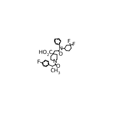 C[C@@H](C(=O)N1CCC(CC(=O)N(c2ccccc2)C2CCCC(F)(F)C2)(C(=O)O)CC1)c1ccc(F)cc1